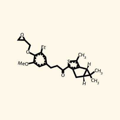 CCc1cc(CCC(=O)c2sc(C)c3c2C[C@@H]2[C@H]3C2(C)C)cc(OC)c1OCC1CO1